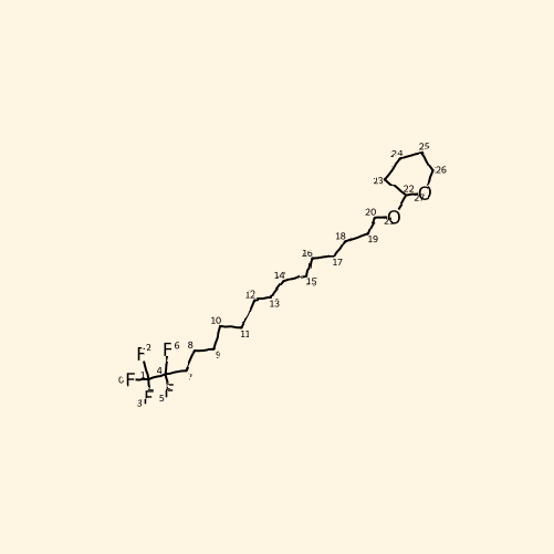 FC(F)(F)C(F)(F)CCCCCCCCCCCCCCOC1CCCCO1